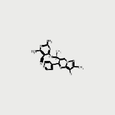 Cc1nn2cc([C@H](C)Nc3nc(N)nc(N)c3C#N)c(-c3ccncc3)nc2c1Cl